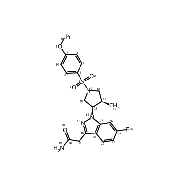 CC(C)Oc1ccc(S(=O)(=O)N2C[C@@H](C)[C@@H](n3nc(CC(N)=O)c4ccc(F)cc43)C2)cc1